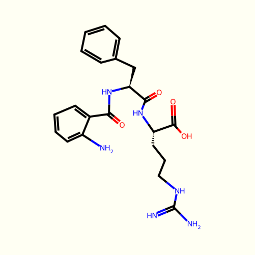 N=C(N)NCCC[C@H](NC(=O)[C@H](Cc1ccccc1)NC(=O)c1ccccc1N)C(=O)O